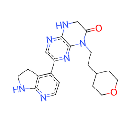 O=C1CNc2ncc(-c3ccnc4c3CCN4)nc2N1CCC1CCOCC1